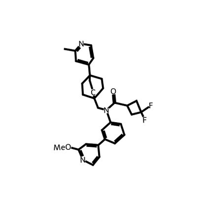 COc1cc(-c2cccc(N(CC34CCC(c5ccnc(C)c5)(CC3)CC4)C(=O)C3CC(F)(F)C3)c2)ccn1